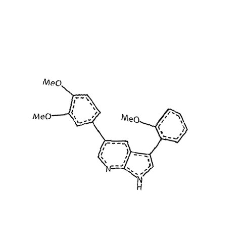 COc1ccc(-c2cnc3[nH]cc(-c4ccccc4OC)c3c2)cc1OC